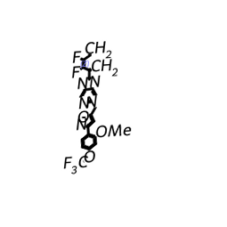 C=C/C(F)=C(/F)C(=C)c1nc2cnn(Cc3cc(-c4ccc(OC(F)(F)F)cc4OC)no3)cc-2n1